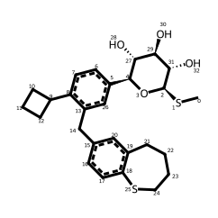 CS[C@H]1O[C@@H](c2ccc(C3CCC3)c(Cc3ccc4c(c3)CCCCS4)c2)[C@H](O)[C@@H](O)[C@@H]1O